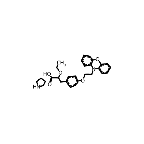 C1CCNC1.CCOC(Cc1ccc(OCCN2c3ccccc3Oc3ccccc32)cc1)C(=O)O